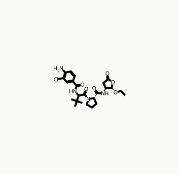 CCO[C@H]1OC(=O)C[C@@H]1NC(=O)[C@@H]1CCCN1C(=O)C(NC(=O)c1ccc(N)c(Cl)c1)C(C)(C)C